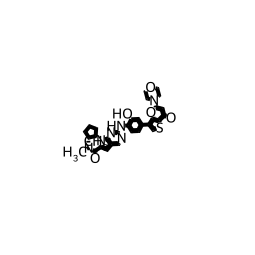 CN(C)C(=O)c1cc2cnc(Nc3ccc(-c4csc5c(=O)cc(N6CCOCC6)oc45)cc3O)nc2n1C1CCCC1